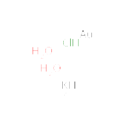 Cl.O.O.[Au].[KH]